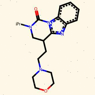 CC(C)N1CC(CCN2CCOCC2)c2nc3ccccc3n2C1=O